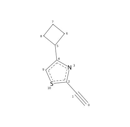 C#Cc1nc(C2CCC2)cs1